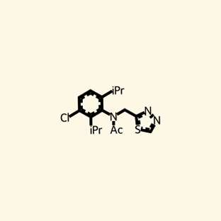 CC(=O)N(Cc1nncs1)c1c(C(C)C)ccc(Cl)c1C(C)C